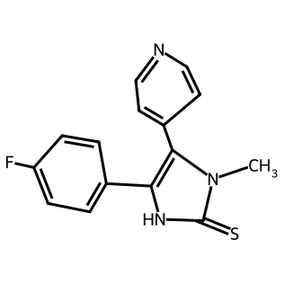 Cn1c(-c2ccncc2)c(-c2ccc(F)cc2)[nH]c1=S